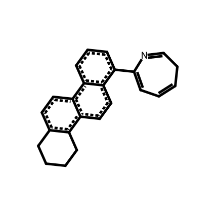 C1=CCC=NC(c2cccc3c2ccc2c4c(ccc23)CCCC4)=C1